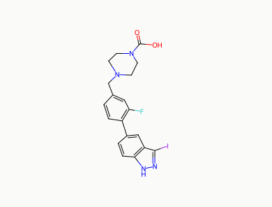 O=C(O)N1CCN(Cc2ccc(-c3ccc4[nH]nc(I)c4c3)c(F)c2)CC1